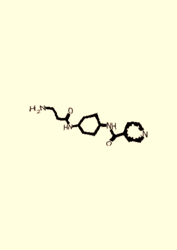 NCCC(=O)NC1CCC(NC(=O)c2ccncc2)CC1